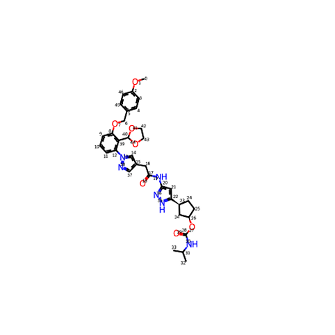 COc1ccc(COc2cccc(-n3cc(CC(=O)Nc4cc([C@H]5CC[C@@H](OC(=O)NC(C)C)C5)[nH]n4)cn3)c2C2OCCO2)cc1